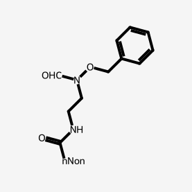 CCCCCCCCCC(=O)NCCN(C=O)OCc1ccccc1